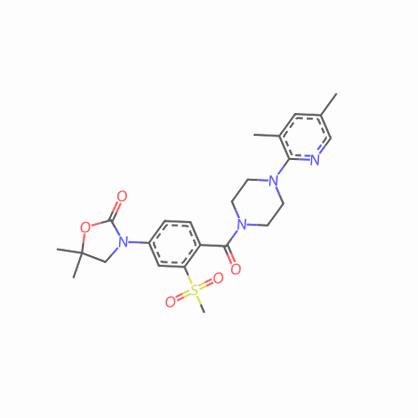 Cc1cnc(N2CCN(C(=O)c3ccc(N4CC(C)(C)OC4=O)cc3S(C)(=O)=O)CC2)c(C)c1